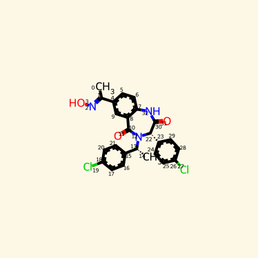 CC(=NO)c1ccc2c(c1)C(=O)N([C@H](C)c1ccc(Cl)cc1)[C@@H](c1ccc(Cl)cc1)C(=O)N2